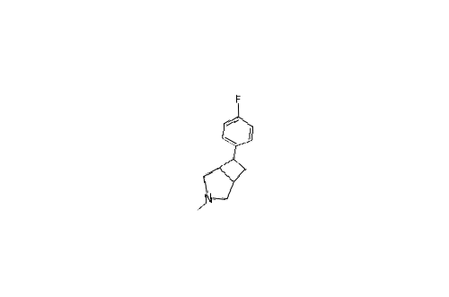 CN1CC2CC(c3ccc(F)cc3)C2C1